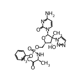 CC(=O)[C@H](C)NP(=O)(OC[C@H]1O[C@@H](n2ccc(N)nc2=O)[C@](C)(n2ccnn2)[C@@H]1O)Oc1ccccc1